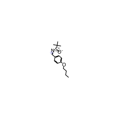 CCCCOc1ccc(/C=N\[S+]([O-])C(C)(C)C)cc1